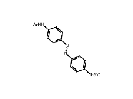 CCCC(C)c1ccc(N=Nc2ccc(NC(C)=O)cc2)cc1